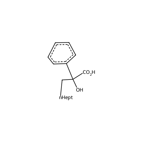 CCCCCCCCC(O)(C(=O)O)c1ccccc1